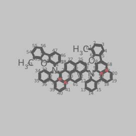 Cc1cccc2c1oc1c(N(c3ccccc3-c3ccccc3)c3ccc4ccc5c(N(c6ccccc6-c6ccccc6)c6cccc7c6oc6c(C)cccc67)ccc6ccc3c4c65)cccc12